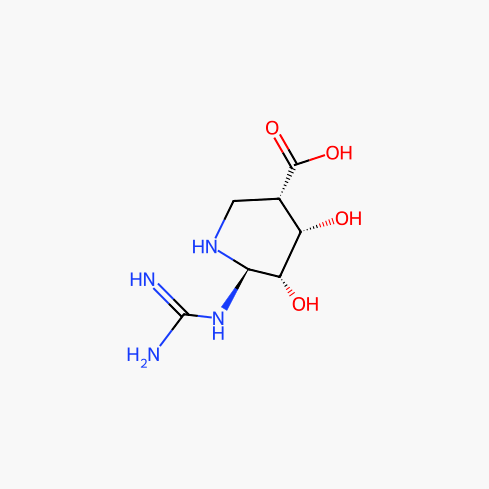 N=C(N)N[C@H]1NC[C@H](C(=O)O)[C@H](O)[C@@H]1O